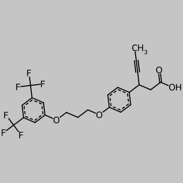 CC#CC(CC(=O)O)c1ccc(OCCCOc2cc(C(F)(F)F)cc(C(F)(F)F)c2)cc1